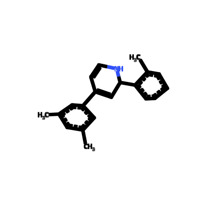 Cc1cc(C)cc(C2=CC(c3ccccc3C)NC=C2)c1